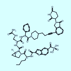 CCCC[C@H](NC(=O)c1cc2cc(C(=O)P(=O)(O)O)ccc2s1)C(=O)N1CC2C[C@H]2[C@H]1C(=O)N[C@@H](CNC(N)=O)C(=O)N[C@H](C(=O)N1CCC(CCC#Cc2cccc3c2CN(C2CCC(=O)NC2=O)C3=O)CC1)c1ccccc1